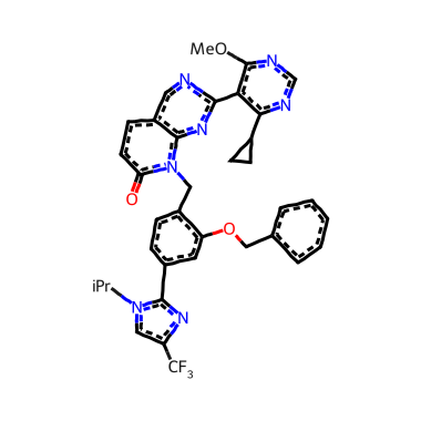 COc1ncnc(C2CC2)c1-c1ncc2ccc(=O)n(Cc3ccc(-c4nc(C(F)(F)F)cn4C(C)C)cc3OCc3ccccc3)c2n1